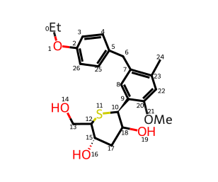 CCOc1ccc(Cc2cc([C@@H]3SC(CO)[C@@H](O)CC3O)c(OC)cc2C)cc1